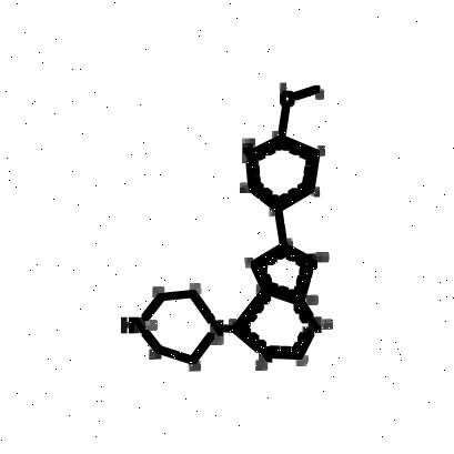 COc1ccc(-c2cc3c(N4CCNCC4)ncnc3s2)cn1